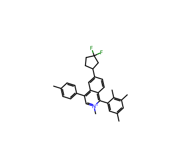 Cc1ccc(-c2c[n+](C)c(-c3cc(C)cc(C)c3C)c3ccc(C4CCC(F)(F)C4)cc23)cc1